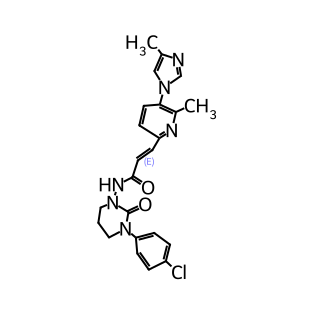 Cc1cn(-c2ccc(/C=C/C(=O)NN3CCCN(c4ccc(Cl)cc4)C3=O)nc2C)cn1